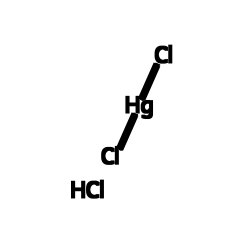 Cl.[Cl][Hg][Cl]